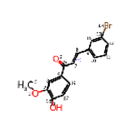 COc1cc(C(=O)/C=C/c2cccc(Br)c2)ccc1O